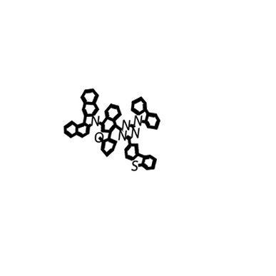 c1ccc2cc3c(cc2c1)c1c2ccccc2ccc1n3-c1c2ccccc2c(-c2nc(-c3ccc4sc5ccccc5c4c3)nc(-n3c4ccccc4c4ccccc43)n2)c2c1oc1ccccc12